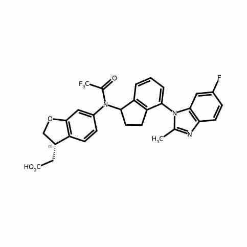 Cc1nc2ccc(F)cc2n1-c1cccc2c1CCC2N(C(=O)C(F)(F)F)c1ccc2c(c1)OC[C@H]2CC(=O)O